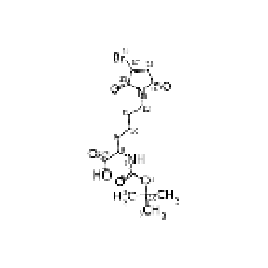 CC(C)(C)OC(=O)NC(CCCCN1C(=O)C=C(Br)C1=O)C(=O)O